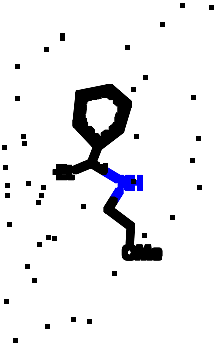 C[CH]C(NCCOC)c1ccccc1